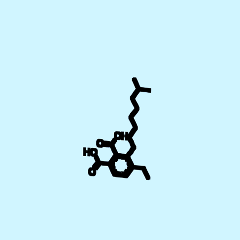 CCc1ccc(C(=O)O)c(C(=O)O)c1CCCCCCC(C)C